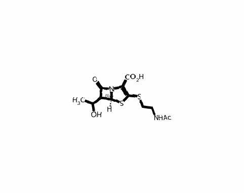 CC(=O)NCCSC1=C(C(=O)O)N2C(=O)C(C(C)O)[C@@H]2S1